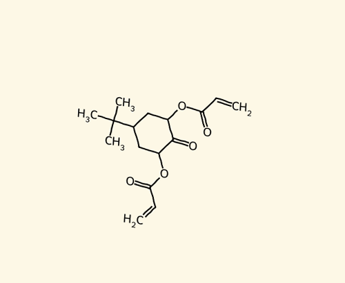 C=CC(=O)OC1CC(C(C)(C)C)CC(OC(=O)C=C)C1=O